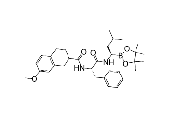 COc1ccc2c(c1)CC(C(=O)N[C@@H](Cc1ccccc1)C(=O)N[C@@H](CC(C)C)B1OC(C)(C)C(C)(C)O1)CC2